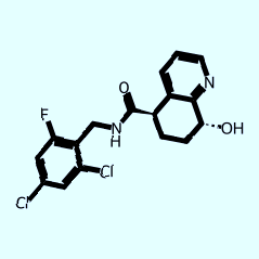 O=C(NCc1c(F)cc(Cl)cc1Cl)[C@@H]1CC[C@@H](O)c2ncccc21